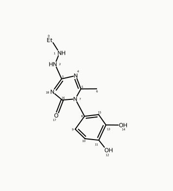 CCNNc1nc(C)n(-c2ccc(O)c(O)c2)c(=O)n1